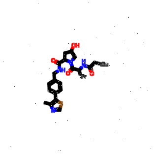 Cc1ncsc1-c1ccc(CNC(=O)C2CC(O)CN2C(=O)C(NC(=O)CC(C)(C)C)C(C)C)cc1